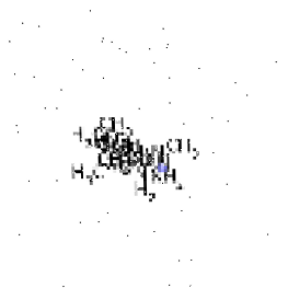 CCC(N)/N=C(/N)c1ncn([C@@H]2O[C@H](CC(C)C)[C@H](OP(=O)(O)OC(C)C)[C@@H]2OC)c1N